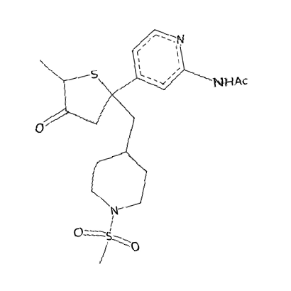 CC(=O)Nc1cc(C2(CC3CCN(S(C)(=O)=O)CC3)CC(=O)C(C)S2)ccn1